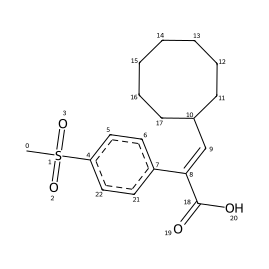 CS(=O)(=O)c1ccc(/C(=C\C2CCCCCCC2)C(=O)O)cc1